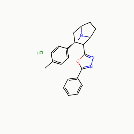 Cc1ccc([C@H]2CC3CCC(C2c2nnc(-c4ccccc4)o2)N3C)cc1.Cl